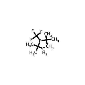 CC(C)(C)P(C(C)(C)C)C(F)(F)F